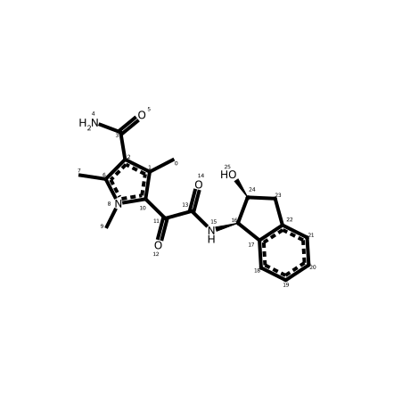 Cc1c(C(N)=O)c(C)n(C)c1C(=O)C(=O)N[C@@H]1c2ccccc2C[C@@H]1O